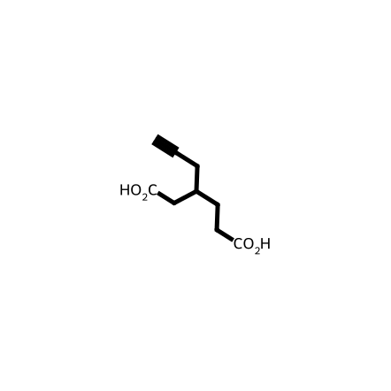 C#CCC(CCC(=O)O)CC(=O)O